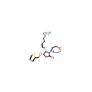 O=C(O)CCC/C=C\C[C@H]1[C@@H](OCc2cccs2)CC(=O)[C@@H]1N1CCOCC1